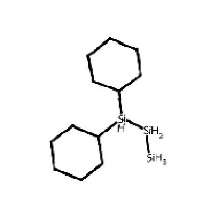 [SiH3][SiH2][SiH](C1CCCCC1)C1CCCCC1